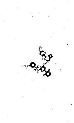 Cc1cccc(C)c1-c1cc(OC[C@@H](CC2CCC2)NCc2ncc(OC(C)C)cn2)nc(NS(=O)(=O)c2cccc(C(=O)O)c2)n1